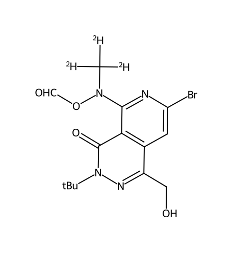 [2H]C([2H])([2H])N(OC=O)c1nc(Br)cc2c(CO)nn(C(C)(C)C)c(=O)c12